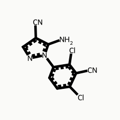 N#Cc1cnn(-c2ccc(Cl)c(C#N)c2Cl)c1N